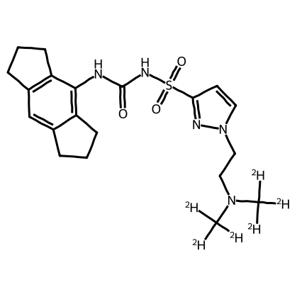 [2H]C([2H])([2H])N(CCn1ccc(S(=O)(=O)NC(=O)Nc2c3c(cc4c2CCC4)CCC3)n1)C([2H])([2H])[2H]